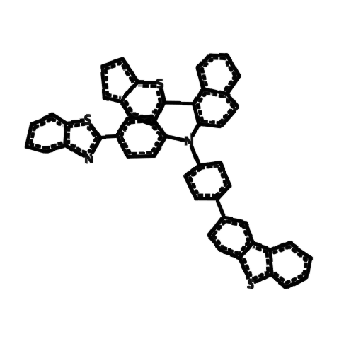 c1cc2ccc(-c3c(N(c4ccc(-c5ccc6sc7ccccc7c6c5)cc4)c4ccc(-c5nc6ccccc6s5)cc4)ccc4ccccc34)sc-2c1